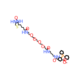 COC(=O)c1ccc(C(=O)NCCCCNC(=O)CCOCCOCCOCCOCCNC(=O)CCCCC2SCC3NC(=O)NC32)cc1P(c1ccccc1)c1ccccc1